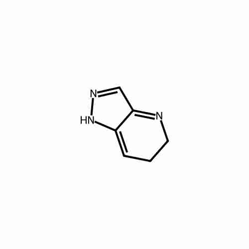 C1=c2[nH]ncc2=NCC1